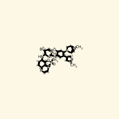 COc1cc(N2CC3CC2CN3C)c(-c2cnn(C)c2)cc1Nc1ncc(Br)c(Nc2ccc3nccnc3c2OP(C)(C)=O)n1